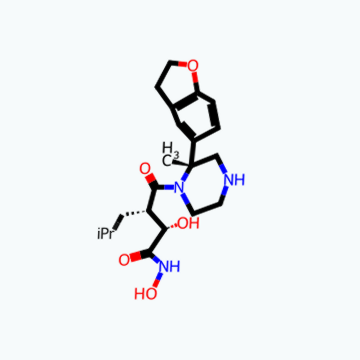 CC(C)C[C@H](C(=O)N1CCNC[C@@]1(C)c1ccc2c(c1)CCO2)[C@H](O)C(=O)NO